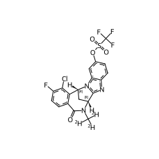 [2H]C([2H])([2H])N1C(=O)c2ccc(F)c(Cl)c2[C@H]2C[C@@H]1c1nc3ccc(OS(=O)(=O)C(F)(F)F)cc3n12